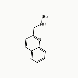 CC(C)(C)NCc1ccc2ccccc2n1